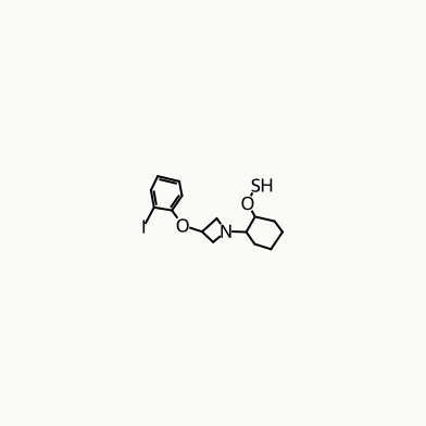 SOC1CCCCC1N1CC(Oc2ccccc2I)C1